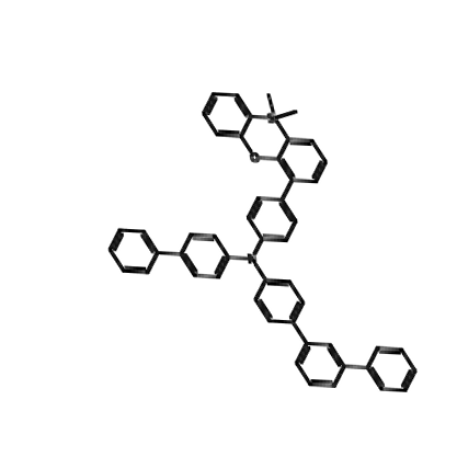 C[Si]1(C)c2ccccc2Oc2c(-c3ccc(N(c4ccc(-c5ccccc5)cc4)c4ccc(-c5cccc(-c6ccccc6)c5)cc4)cc3)cccc21